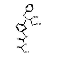 COC(=O)NC(=S)Nc1cccc(N(Oc2ccccc2)C(C=O)CC=O)c1